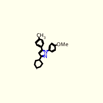 COc1ccc(-n2nc([C]3CC[CH]CC3)cc2-c2ccc(C)cc2)cc1